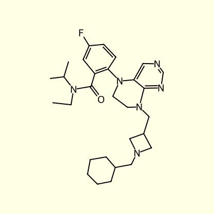 CCN(C(=O)c1cc(F)ccc1N1CCN(CC2CN(CC3CCCCC3)C2)c2ncncc21)C(C)C